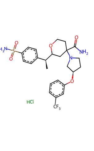 C[C@@H](c1ccc(S(N)(=O)=O)cc1)C1CC(C(N)=O)(N2CC[C@@H](Oc3cccc(C(F)(F)F)c3)C2)CCO1.Cl